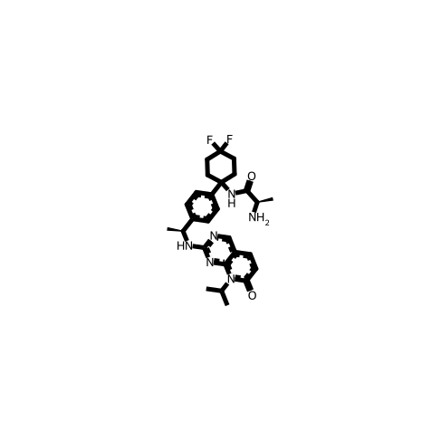 CC(C)n1c(=O)ccc2cnc(N[C@@H](C)c3ccc(C4(NC(=O)[C@@H](C)N)CCC(F)(F)CC4)cc3)nc21